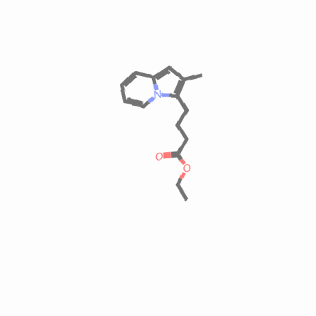 CCOC(=O)CCCc1c(C)cc2ccccn12